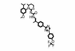 COc1ccc(C(C)C)c(N2/C(=N/C(=O)N/C=C(\C)c3ccc(-c4ncn(-c5ccc(OC(F)(F)F)cc5)n4)cc3)SCCC2C)c1